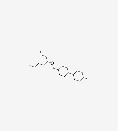 CCCCC(CCC)OCC1CCC(C2CCC(C)CC2)CC1